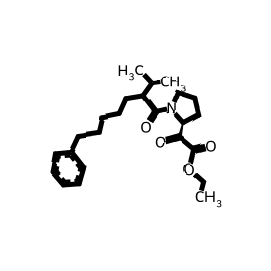 CCOC(=O)C(=O)[C@@H]1CCCN1C(=O)C(CCCCCc1ccccc1)C(C)C